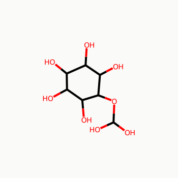 OC(O)OC1C(O)C(O)C(O)C(O)C1O